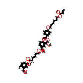 C=CC(=O)OCCCCCCOc1ccc(C(=O)Oc2ccc(C(=O)OCCCCCC(=O)Oc3ccc(C)c(C=O)c3)cc2C=O)cc1